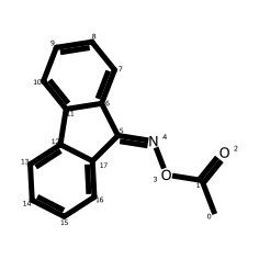 CC(=O)ON=C1c2ccccc2-c2ccccc21